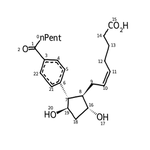 CCCCCC(=O)c1ccc([C@@H]2[C@@H](C/C=C\CCCC(=O)O)[C@H](O)C[C@H]2O)cc1